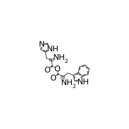 N[C@@H](Cc1cnc[nH]1)C(=O)OC(=O)[C@@H](N)Cc1c[nH]c2ccccc12